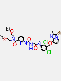 CCOCCN(CCOCC)C(=O)c1cccc(NC(=O)NCC(=O)N(C)c2ccc(Cl)c(COc3cccn4c(Br)c(C)nc34)c2Cl)c1